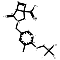 Cc1cc(CN2CC3(C(=N)Cl)C=CC3C2=O)cnc1OCC(F)(F)I